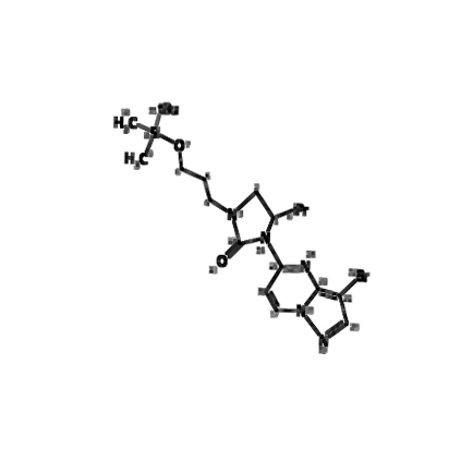 CC(C)C1CN(CCCO[Si](C)(C)C(C)(C)C)C(=O)N1c1ccn2ncc(Br)c2n1